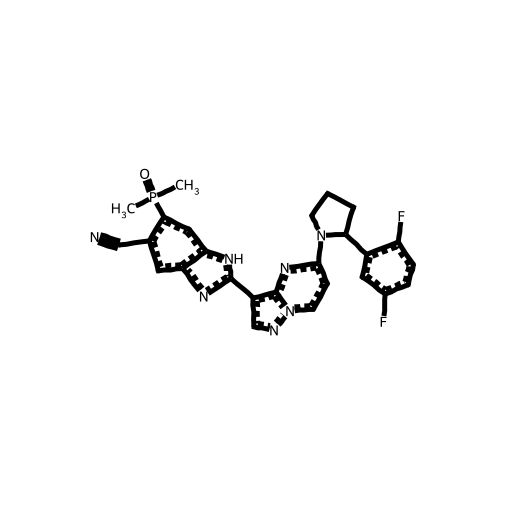 CP(C)(=O)c1cc2[nH]c(-c3cnn4ccc(N5CCCC5c5cc(F)ccc5F)nc34)nc2cc1C#N